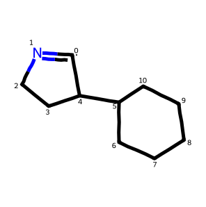 [C]1=NCCC1C1CCCCC1